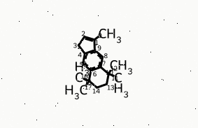 CC1=C[CH]c2cc3c(cc21)C(C)(C)CCC3(C)C